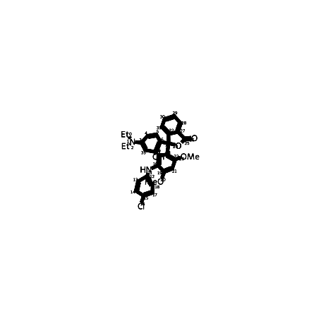 CCN(CC)c1ccc(C2(c3cc(Nc4ccc(Cl)cc4)c(OC)cc3OC)OC(=O)c3ccccc32)c(O)c1